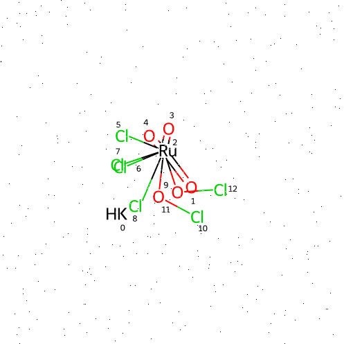 [KH].[O]=[Ru](=[O])(=[O])([Cl])([Cl])([Cl])([Cl])([O]Cl)[O]Cl